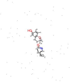 Cc1c(C)c2c(c(C)c1O)CCC(C)(COc1ccc([N+](=O)[O-])cn1)O2